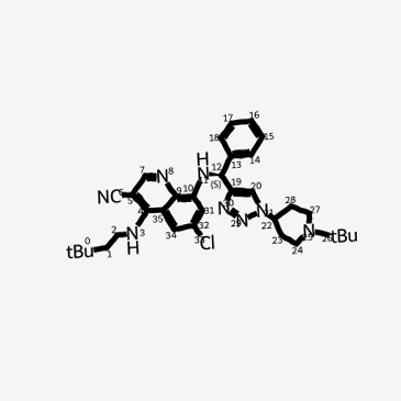 CC(C)(C)CCNc1c(C#N)cnc2c(N[C@@H](c3ccccc3)c3cn(C4CCN(C(C)(C)C)CC4)nn3)cc(Cl)cc12